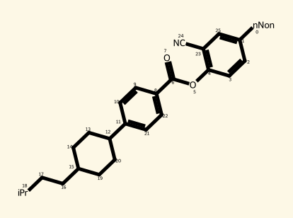 CCCCCCCCCc1ccc(OC(=O)c2ccc(C3CCC(CCC(C)C)CC3)cc2)c(C#N)c1